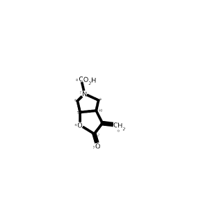 C=C1C(=O)OC2CN(C(=O)O)CC12